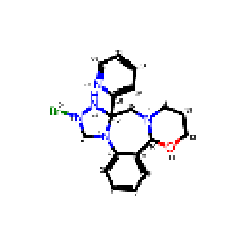 BrN1CN2c3ccccc3C3OCCCN3CC2(c2ccccn2)N1